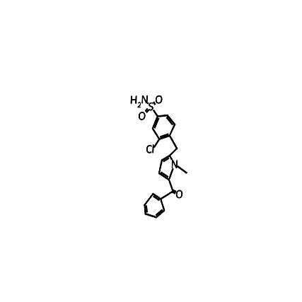 Cn1c(Cc2ccc(S(N)(=O)=O)cc2Cl)ccc1C(=O)c1ccccc1